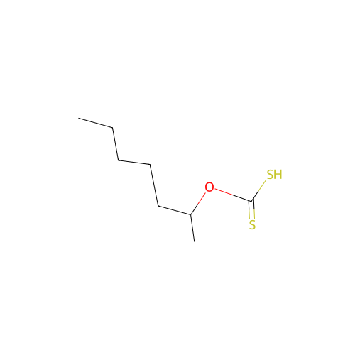 CCCCCC(C)OC(=S)S